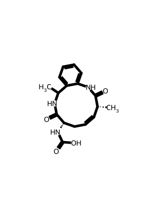 CC1NC(=O)[C@@H](NC(=O)O)CC=C[C@@H](C)C(=O)Nc2ccccc21